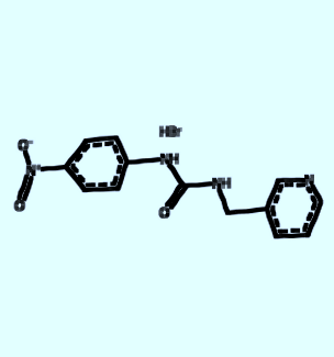 Br.O=C(NCc1cccnc1)Nc1ccc([N+](=O)[O-])cc1